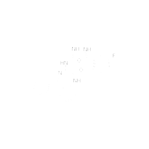 N=C(NC1N=C(c2ccccc2)c2ccccc2NC1=O)OC(=N)c1cccc(F)c1